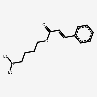 CCN(CC)CCCCOC(=O)C=Cc1ccccc1